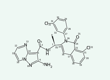 C[C@H](NC(=O)c1c(N)nn2cccnc12)c1cc2cccc(Cl)c2c(=O)n1-c1cccc(Cl)c1